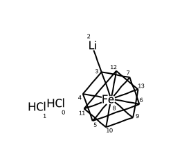 Cl.Cl.[Li][C]12[CH]3[CH]4[CH]5[CH]1[Fe]45321678[CH]2[CH]1[CH]6[CH]7[CH]28